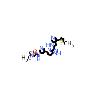 Cc1ccc(-c2cncc3[nH]c(-c4n[nH]c5ccc(-c6cncc(NC(=O)CN(C)C)c6)nc45)cc23)s1